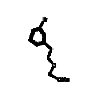 COCOC[CH]c1cccc(Br)c1